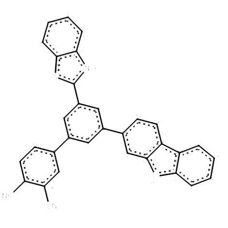 N#Cc1ccc(-c2cc(-c3ccc4c(c3)oc3ccccc34)cc(-c3nc4ccccc4s3)c2)cc1C#N